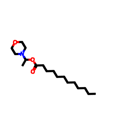 CCCCCCCCCCCC(=O)OC(C)N1CCOCC1